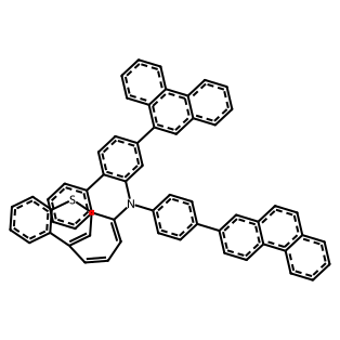 C1=CC2=CC(Sc3ccccc32)C(N(c2ccc(-c3ccc4c(ccc5ccccc54)c3)cc2)c2cc(-c3cc4ccccc4c4ccccc34)ccc2-c2ccccc2)=C1